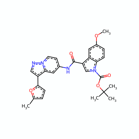 COc1ccc2c(c1)c(C(=O)Nc1ccn3ncc(-c4ccc(C)o4)c3c1)cn2C(=O)OC(C)(C)C